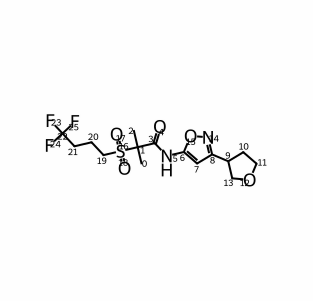 CC(C)(C(=O)Nc1cc(C2CCOC2)no1)S(=O)(=O)CCCC(F)(F)F